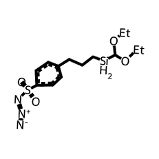 CCOC(OCC)[SiH2]CCCc1ccc(S(=O)(=O)N=[N+]=[N-])cc1